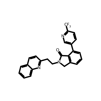 O=C1c2c(cccc2-c2ccc(C(F)(F)F)nc2)CN1CCc1ccc2ccccc2n1